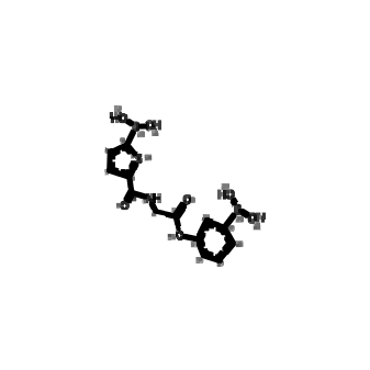 O=C(CNC(=O)c1ccc(B(O)O)s1)Oc1cccc(B(O)O)c1